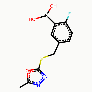 Cc1nnc(SCc2ccc(F)c(B(O)O)c2)o1